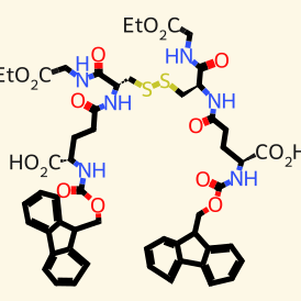 CCOC(=O)CNC(=O)[C@H](CSSC[C@H](NC(=O)CC[C@H](NC(=O)OCC1c2ccccc2-c2ccccc21)C(=O)O)C(=O)NCC(=O)OCC)NC(=O)CC[C@H](NC(=O)OCC1c2ccccc2-c2ccccc21)C(=O)O